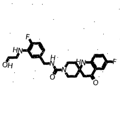 O=C1CC2(CCN(C(=O)NCc3ccc(F)c(NCCO)c3)CC2)Nc2ccc(F)cc21